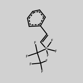 FC(F)(F)C(F)(F)P(F)(F)(F)C=Cc1ccccc1